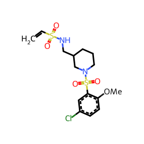 C=CS(=O)(=O)NCC1CCCN(S(=O)(=O)c2cc(Cl)ccc2OC)C1